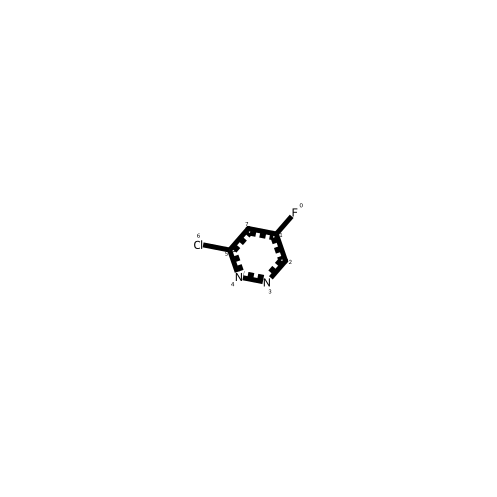 Fc1[c]nnc(Cl)c1